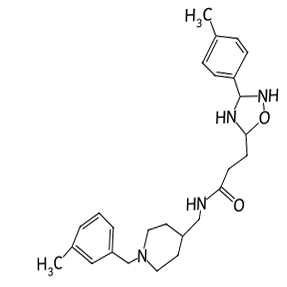 Cc1ccc(C2NOC(CCC(=O)NCC3CCN(Cc4cccc(C)c4)CC3)N2)cc1